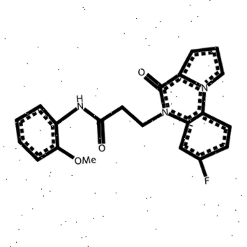 COc1ccccc1NC(=O)CCn1c(=O)c2cccn2c2ccc(F)cc21